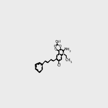 CCn1c(N)c(OC(=O)O)c(=O)c2cc(CCCCc3ccccc3)c(Cl)cc21